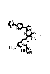 CC1=CN(C(=O)c2nnc[nH]2)C(CCc2nc3c(-c4ccc(-c5nccs5)nc4)cnn3c(N)c2C#N)C1